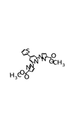 COC(=O)c1ccn(-c2cc(-c3cccs3)cc(-n3ccc(C(=O)OC)n3)n2)n1